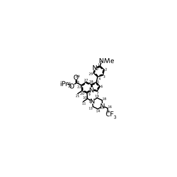 CNc1ccc(-c2ccn3c(C(C)N4CCN(CC(F)(F)F)CC4)c(C)c(C(=O)OC(C)C)cc23)cn1